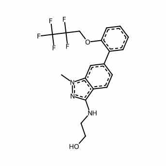 Cn1nc(NCCO)c2ccc(-c3ccccc3OCC(F)(F)C(F)(F)F)cc21